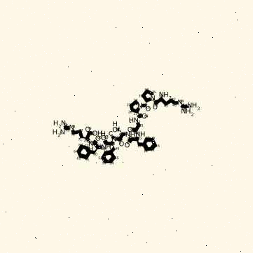 CN(C(=O)[C@H](CO)NC(=O)[C@H](Cc1ccccc1)NC(=O)CNC(=O)[C@@H]1CCCN1C(=O)[C@@H]1CCCN1C(=O)[C@@H](N)CCCN=C(N)N)[C@H](Cc1ccccc1)C(=O)N[C@@H](Cc1ccccc1)C(=O)N[C@@H](CCCN=C(N)N)C(=O)O